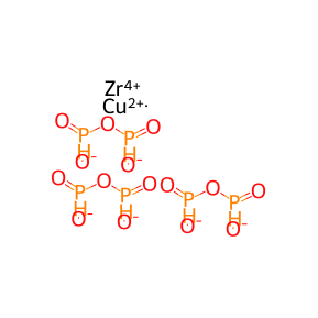 O=[PH]([O-])O[PH](=O)[O-].O=[PH]([O-])O[PH](=O)[O-].O=[PH]([O-])O[PH](=O)[O-].[Cu+2].[Zr+4]